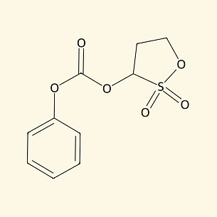 O=C(Oc1ccccc1)OC1CCOS1(=O)=O